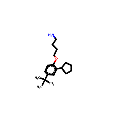 CC(C)(C)c1ccc(OCCCCN)c(C2CCCC2)c1